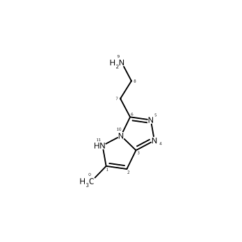 Cc1cc2nnc(CCN)n2[nH]1